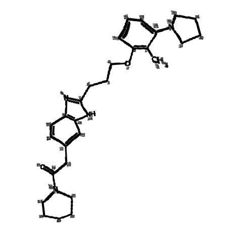 Cc1c(OCCCc2nc3ccc(CC(=O)N4CCCCC4)cc3[nH]2)cccc1N1CCCC1